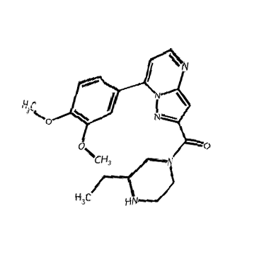 CCC1CN(C(=O)c2cc3nccc(-c4ccc(OC)c(OC)c4)n3n2)CCN1